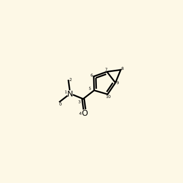 CN(C)C(=O)C1=C=C2CC2=C1